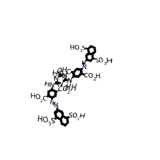 O=C(O)c1cc(Nc2nc(O)nc(Nc3cc(C(=O)O)c(/N=N/c4cc(S(=O)(=O)O)c5cccc(S(=O)(=O)O)c5c4)cc3C(=O)O)n2)c(C(=O)O)cc1/N=N/c1cc(S(=O)(=O)O)c2cccc(S(=O)(=O)O)c2c1